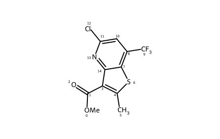 COC(=O)c1c(C)sc2c(C(F)(F)F)cc(Cl)nc12